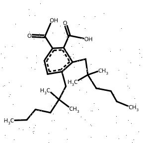 CCCCC(C)(C)Cc1ccc(C(=O)O)c(C(=O)O)c1CC(C)(C)CCCC